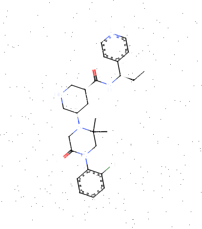 CC[C@@H](NC(=O)[C@@H]1CNC[C@H](N2CC(=O)N(c3ccccc3Cl)CC2(C)C)C1)c1ccncc1